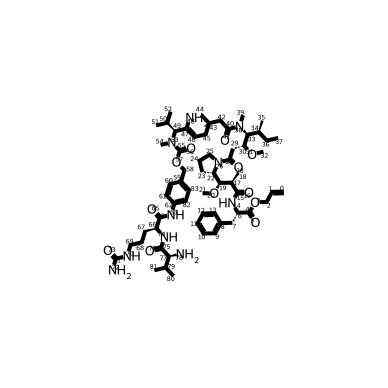 C=CCOC(=O)[C@H](Cc1ccccc1)NC(=O)[C@H](C)[C@@H](OC)[C@@H]1CCCN1C(=O)C[C@@H](OC)[C@H]([C@@H](C)CC)N(C)C(=O)CC(C)C/C=C(\N)[C@H](C(C)C)N(C)C(=O)OCc1ccc(NC(=O)[C@H](CCCNC(N)=O)NC(=O)[C@@H](N)C(C)C)cc1